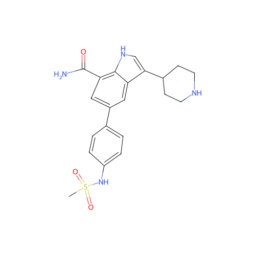 CS(=O)(=O)Nc1ccc(-c2cc(C(N)=O)c3[nH]cc(C4CCNCC4)c3c2)cc1